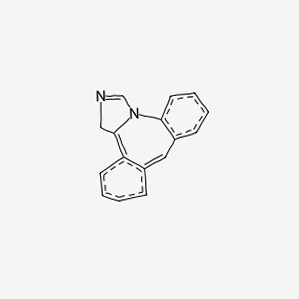 C1=NCC2=c3ccccc3=Cc3ccccc3N12